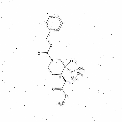 C/C=C(/C(=O)OC)[C@H]1CCN(C(=O)OCc2ccccc2)CC1(C)C(C)C